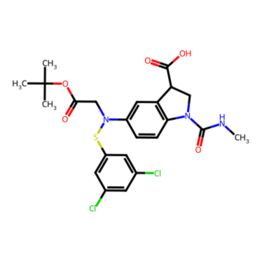 CNC(=O)N1CC(C(=O)O)c2cc(N(CC(=O)OC(C)(C)C)Sc3cc(Cl)cc(Cl)c3)ccc21